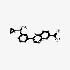 CN(c1cccc(-c2cnc3cc(C(=O)O)ccc3n2)c1)C1CC1